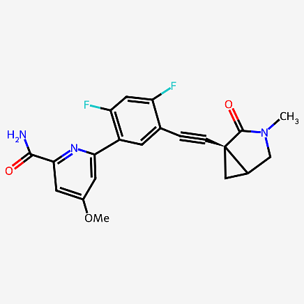 COc1cc(C(N)=O)nc(-c2cc(C#C[C@]34CC3CN(C)C4=O)c(F)cc2F)c1